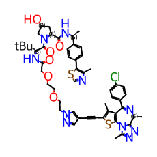 Cc1ncsc1-c1ccc([C@H](C)NC(=O)[C@@H]2C[C@@H](O)CN2C(=O)[C@@H](NC(=O)COCCOCCn2cc(C#Cc3sc4c(c3C)C(c3ccc(Cl)cc3)=N[C@@H](C)c3nnc(C)n3-4)cn2)C(C)(C)C)cc1